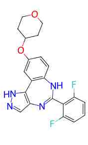 Fc1cccc(F)c1C1=Nc2cn[nH]c2-c2cc(OC3CCOCC3)ccc2N1